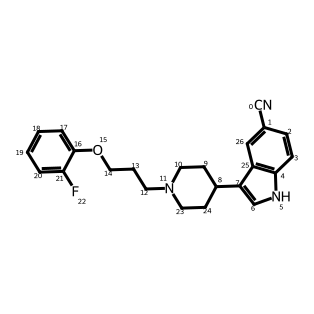 N#Cc1ccc2[nH]cc(C3CCN(CCCOc4ccccc4F)CC3)c2c1